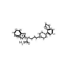 NC(=O)N(CCCCN1CCN(c2cccc3c2OCC3)CC1)c1nc2cccnc2[nH]1